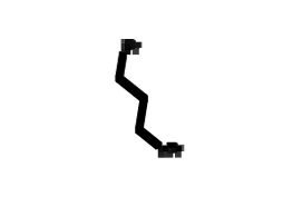 [CH2]CCCCCC([CH2])C